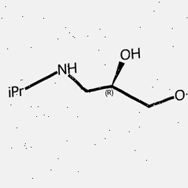 CC(C)NC[C@@H](O)C[O]